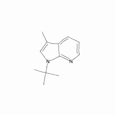 Cc1cn(C(C)(C)C)c2ncccc12